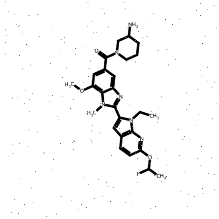 CCn1c(-c2nc3cc(C(=O)N4CCCC(N)C4)cc(OC)c3n2C)cc2ccc(OC(C)F)nc21